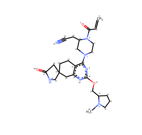 C=CC(=O)N1CCN(c2nc(OCC3CCCN3C)nc3c2CCC2(CNC(=O)C2)C3)CC1CC#N